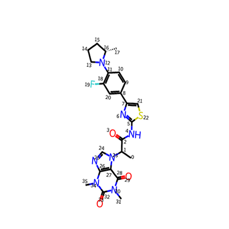 CC(C(=O)Nc1nc(-c2ccc(N3CCC[C@@H]3C)c(F)c2)cs1)n1cnc2c1c(=O)n(C)c(=O)n2C